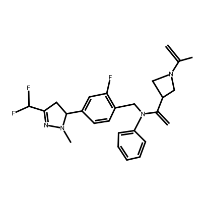 C=C(C)N1CC(C(=C)N(Cc2ccc(C3CC(C(F)F)=NN3C)cc2F)c2ccccc2)C1